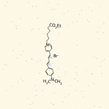 CCOC(=O)CCCCC[n+]1ccc(/C=C/C=C/c2ccc(N(C)C)cc2)cc1.[Br-]